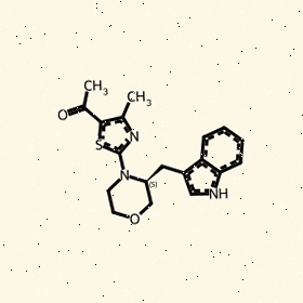 CC(=O)c1sc(N2CCOC[C@@H]2Cc2c[nH]c3ccccc23)nc1C